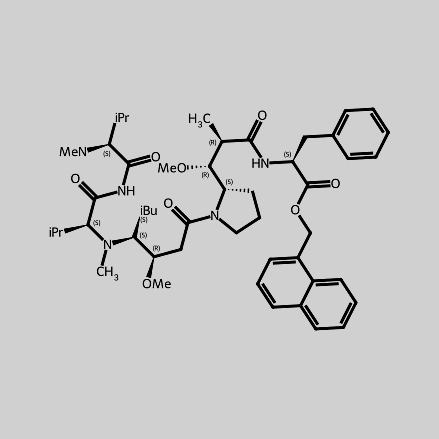 CC[C@H](C)[C@@H]([C@@H](CC(=O)N1CCC[C@H]1[C@H](OC)[C@@H](C)C(=O)N[C@@H](Cc1ccccc1)C(=O)OCc1cccc2ccccc12)OC)N(C)[C@H](C(=O)NC(=O)[C@@H](NC)C(C)C)C(C)C